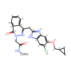 CSNC(=O)Cn1nc(Cc2nc3cc(OCC4CC4)c(Cl)cc3[nH]2)c2ccccc2c1=O